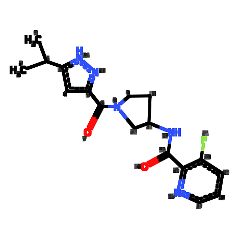 CC(C)c1cc(C(=O)N2CCC(NC(=O)c3ncccc3F)C2)n[nH]1